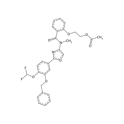 CC(=O)OCCOc1ccccc1C(=O)N(C)c1coc(-c2ccc(OC(F)F)c(OCc3ccccc3)c2)n1